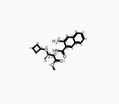 COC(=O)[C@@H](NC(=O)c1cc2ccccc2cc1N)[C@@H](C)OC1CCC1